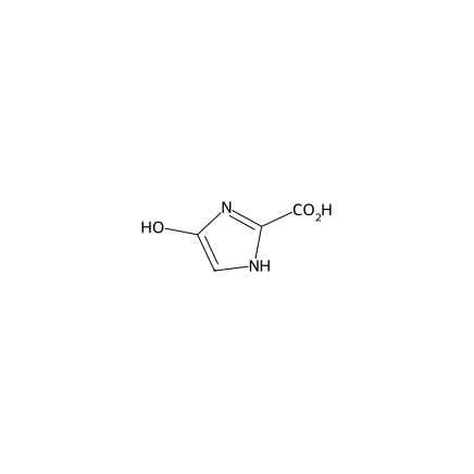 O=C(O)c1nc(O)c[nH]1